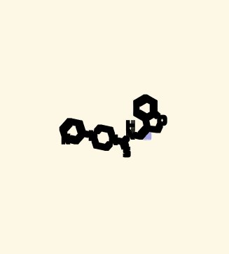 S=C(N/C=C1/COc2ccccc21)N1CCN(c2cccnc2)CC1